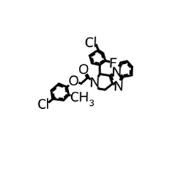 Cc1cc(Cl)ccc1OCC(=O)N1CCc2nc3ccccn3c2C1c1ccc(Cl)cc1F